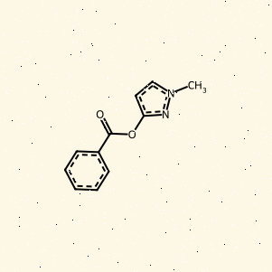 Cn1ccc(OC(=O)c2ccccc2)n1